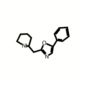 c1ccc(-c2cnc(CC3CCCCN3)o2)cc1